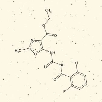 CCOC(=O)c1nc(C)oc1NC(=O)NC(=O)c1c(F)cccc1Cl